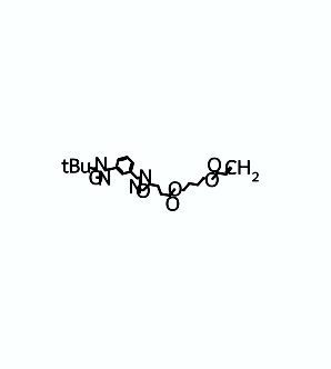 C=CC(=O)OCCCCOC(=O)CCc1nc(-c2cccc(-c3noc(C(C)(C)C)n3)c2)no1